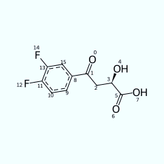 O=C(C[C@@H](O)C(=O)O)c1ccc(F)c(F)c1